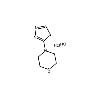 Cl.Cl.c1nnc(N2CCNCC2)s1